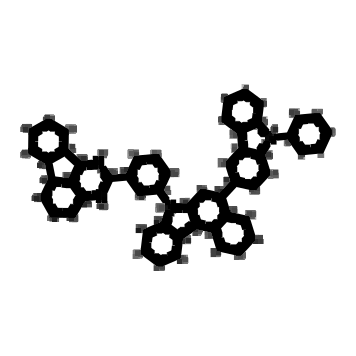 c1ccc(-n2c3ccccc3c3cc(-c4cc5c(c6ccccc46)c4ccccc4n5-c4cccc(-c5nc6c7c(cccc7n5)-c5ccccc5-6)c4)ccc32)cc1